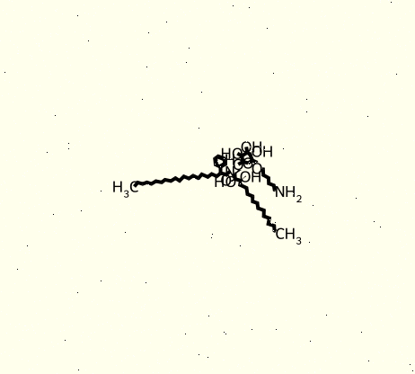 CCCCCCCCCCCCCCCCCCCC(C(=O)N[C@@H](COC1OC(COCCCCCCN)C(O)C(O)C1O)[C@H](O)[C@H](O)CCCCCCCCCCCCCC)c1ccccc1